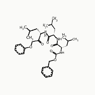 CC(C)C[C@H](NC(=O)[C@H](CC(C)C)NC(=O)[C@H](CC(C)C)NC(=O)OCc1ccccc1)C(=O)COc1ccccc1